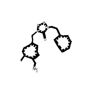 Cc1cc(Cn2nnn(Cc3ccccc3)c2=O)ccc1N